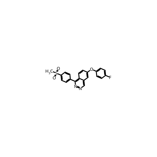 CS(=O)(=O)c1ccc(-c2nncc3cc(Oc4ccc(F)cc4)ccc23)cc1